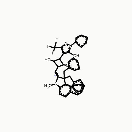 CN1/C(=C/C2C(O)C(c3c(C(F)(F)F)nn(-c4ccccc4)c3O)C2O)C(Cc2ccccc2)(Cc2ccccc2)c2c1ccc1ccccc21